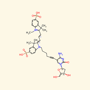 CC[N+]1=C(/C=C/C=C2/N(CCCCC#Cc3cn([C@H]4C[C@@H](O)[C@@H](CO)O4)c(=O)nc3N)c3ccc(S(=O)(=O)O)cc3C2(C)C)C(C)(C)c2cc(S(=O)(=O)O)ccc21